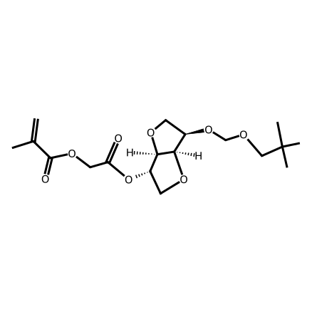 C=C(C)C(=O)OCC(=O)O[C@H]1CO[C@H]2[C@@H]1OC[C@H]2OCOCC(C)(C)C